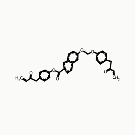 C=CC(=O)Cc1ccc(OCOc2ccc3cc(C(=O)Oc4ccc(CC(=O)C=C)cc4)ccc3c2)cc1